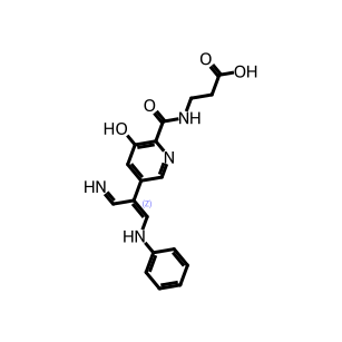 N=C/C(=C\Nc1ccccc1)c1cnc(C(=O)NCCC(=O)O)c(O)c1